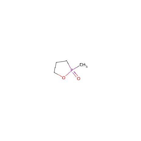 CP1(=O)CCCO1